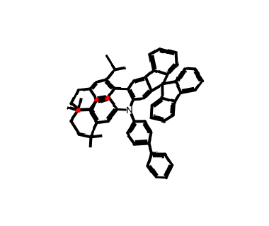 CC(C)c1cc2c(cc1-c1cc3c(cc1N(c1ccc(-c4ccccc4)cc1)c1ccc4c(c1)C(C)(C)CCC4(C)C)C1(c4ccccc4-c4ccccc41)c1ccccc1-3)CCCC2